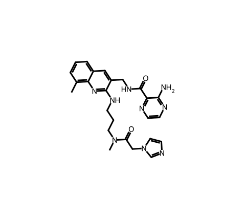 Cc1cccc2cc(CNC(=O)c3nccnc3N)c(NCCCN(C)C(=O)Cn3ccnc3)nc12